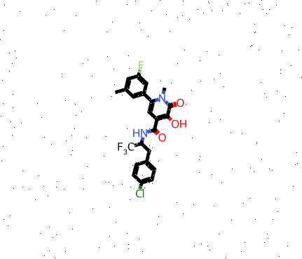 Cc1cc(F)cc(-c2cc(C(=O)NC(Cc3ccc(Cl)cc3)C(F)(F)F)c(O)c(=O)n2C)c1